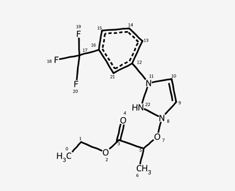 CCOC(=O)C(C)ON1C=CN(c2cccc(C(F)(F)F)c2)N1